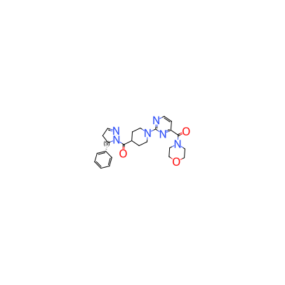 O=C(c1ccnc(N2CCC(C(=O)N3N=CC[C@H]3c3ccccc3)CC2)n1)N1CCOCC1